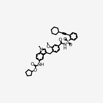 COc1cc(C(=O)NS(=O)(=O)c2ccccc2C#CC2CCCCC2)ccc1Cc1cn(C)c2ccc(NC(=O)OC3CCCC3)cc12